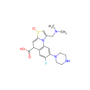 CN(C)CC1=C[S+]([O-])C2=CC(C(=O)O)c3cc(F)c(N4CCNCC4)cc3N12